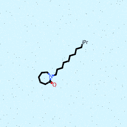 CC(C)CCCCCCCCCN1CCCCCC1=O